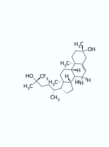 [2H]C1([2H])C=C2C[C@@](C)(O)CC[C@]2(C)[C@H]2CC[C@]3(C)[C@@H]([C@H](C)CC[C@](C)(O)C(F)(F)F)CC[C@H]3[C@@H]21